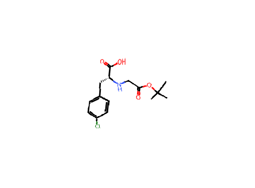 CC(C)(C)OC(=O)CN[C@H](Cc1ccc(Cl)cc1)C(=O)O